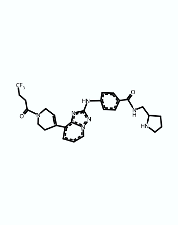 O=C(NCC1CCCN1)c1ccc(Nc2nc3c(C4=CCN(C(=O)CCC(F)(F)F)CC4)cccn3n2)cc1